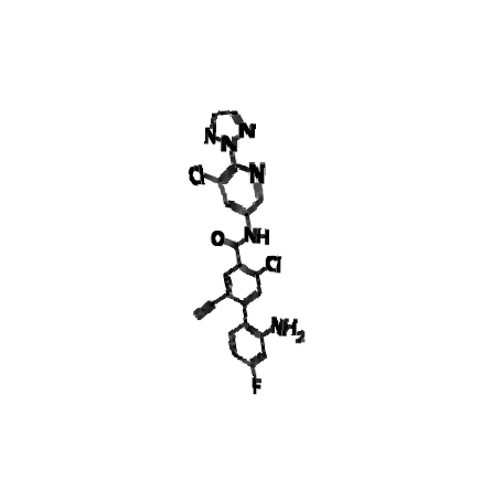 C#Cc1cc(C(=O)Nc2cnc(-n3nccn3)c(Cl)c2)c(Cl)cc1-c1ccc(F)cc1N